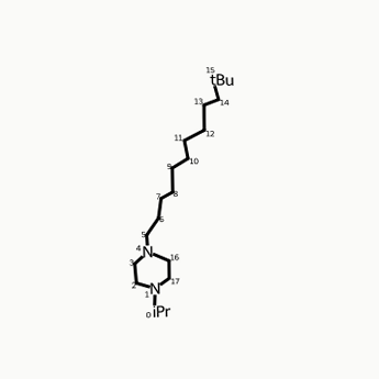 CC(C)N1CCN(CCCCCCCCCCC(C)(C)C)CC1